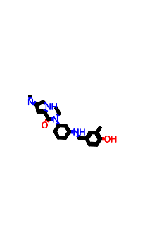 CCN(C(=O)C1=C/C(=N/C)CN1)C1CCCC(NCc2ccc(O)c(C)c2)C1